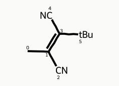 C/C(C#N)=C(\C#N)C(C)(C)C